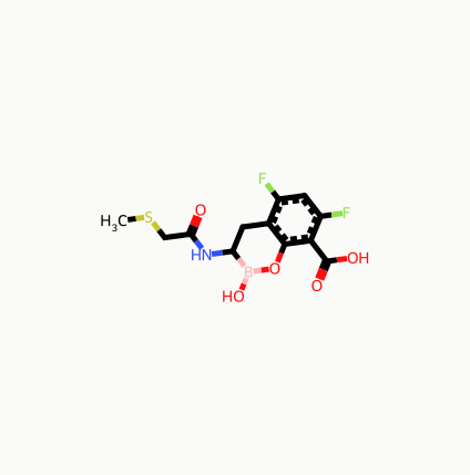 CSCC(=O)NC1Cc2c(F)cc(F)c(C(=O)O)c2OB1O